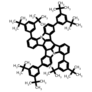 CC(C)(C)c1cc(-c2ccc3c(c2)c2c4c5cccc(-c6cc(C(C)(C)C)cc(C(C)(C)C)c6)c5n5c6ccc(-c7cc(C(C)(C)C)cc(C(C)(C)C)c7)cc6c(c6c7cccc(-c8cc(C(C)(C)C)cc(C(C)(C)C)c8)c7n3c26)c45)cc(C(C)(C)C)c1